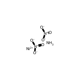 N.O=[N+]([O-])[O-].O=[N+]([O-])[O-].[Ni+2]